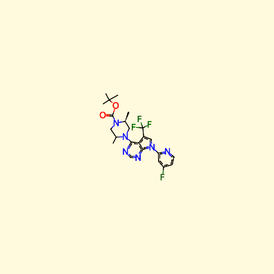 CC1CN(C(=O)OC(C)(C)C)[C@@H](C)CN1c1ncnc2c1c(C(F)(F)F)cn2-c1cc(F)ccn1